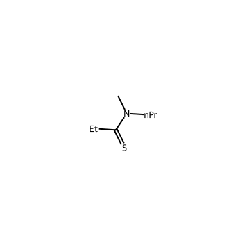 CCCN(C)C(=S)CC